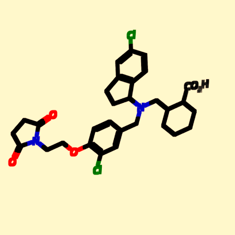 O=C(O)C1CCCCC1CN(Cc1ccc(OCCN2C(=O)CCC2=O)c(Cl)c1)C1CCc2cc(Cl)ccc21